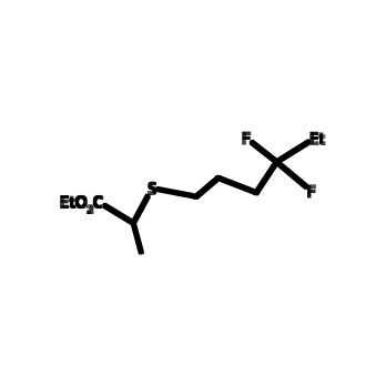 CCOC(=O)C(C)SCCCC(F)(F)CC